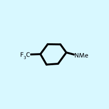 [C]NC1CCC(C(F)(F)F)CC1